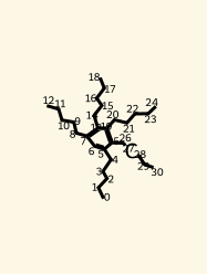 CCCCCc1cc(CCCCC)c(CCCCC)c(CCCCC)c1CCCCC